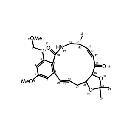 COCOc1cc(OC)cc2c1C(=O)NC[C@H](C)/C=C\C(=O)C1OC(C)(C)OC1C/C=C/2